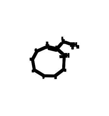 NS/C1=N/CCCCCCN1